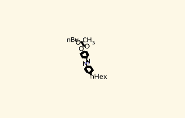 CCCCCCc1ccc(/N=N/c2ccc(OC(=O)C(C)OCCCC)cc2)cc1